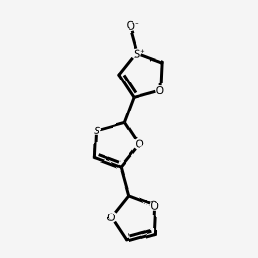 [O-][S+]1C=C(C2OC(C3OC=CO3)=CS2)OC1